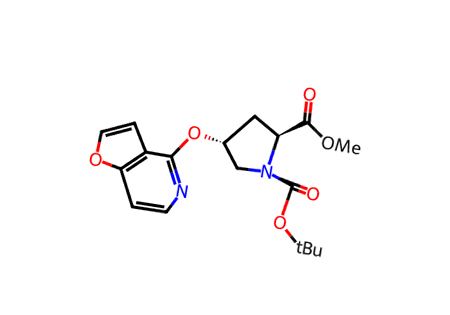 COC(=O)[C@@H]1C[C@@H](Oc2nccc3occc23)CN1C(=O)OC(C)(C)C